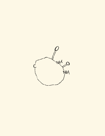 O=C1CCCCCCCCCNC(=O)N1